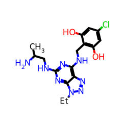 CCn1nnc2c(NCc3c(O)cc(Cl)cc3O)nc(NCC(C)N)nc21